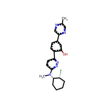 Cc1cnc(-c2ccc(-c3ccc(N(C)[C@H]4CCCC[C@H]4F)nn3)c(O)c2)cn1